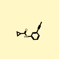 CC#Cc1cccc(NC(=O)C2CC2)c1